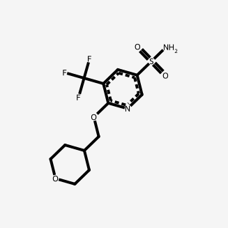 NS(=O)(=O)c1cnc(OCC2CCOCC2)c(C(F)(F)F)c1